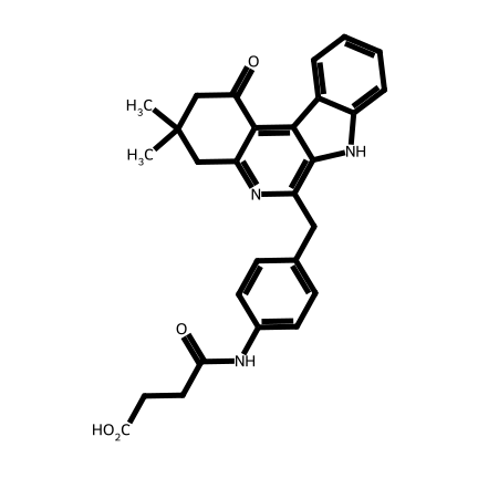 CC1(C)CC(=O)c2c(nc(Cc3ccc(NC(=O)CCC(=O)O)cc3)c3[nH]c4ccccc4c23)C1